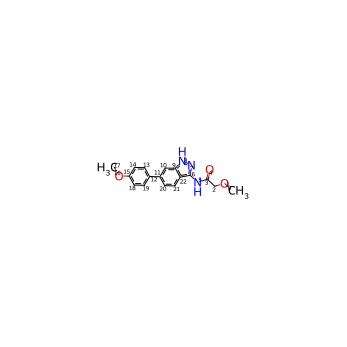 COCC(=O)Nc1n[nH]c2cc(-c3ccc(OC)cc3)ccc12